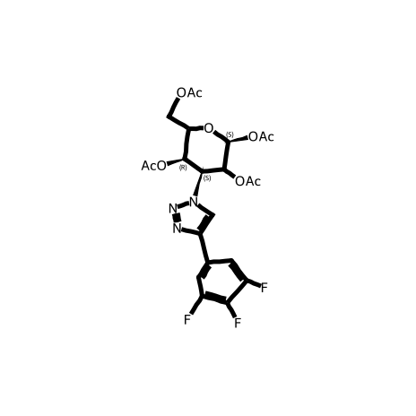 CC(=O)OCC1O[C@@H](OC(C)=O)C(OC(C)=O)[C@@H](n2cc(-c3cc(F)c(F)c(F)c3)nn2)[C@H]1OC(C)=O